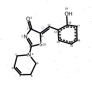 O=C1N=C(N2CC=CCC2)S/C1=C\c1ccccc1O